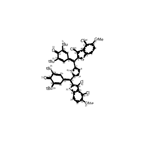 COc1ccc2sc(C(=C3C=C(C(C)(C)C)C(=O)C(C(C)(C)C)=C3)c3ccc(C(=C4C=C(C(C)(C)C)C(=O)C(C(C)(C)C)=C4)c4sc5ccc(OC)c(Cl)c5c4Cl)s3)c(Cl)c2c1Cl